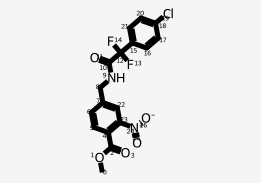 COC(=O)c1ccc(CNC(=O)C(F)(F)c2ccc(Cl)cc2)cc1[N+](=O)[O-]